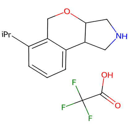 CC(C)c1cccc2c1COC1CNCC21.O=C(O)C(F)(F)F